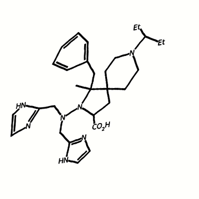 CCC(CC)N1CCC2(CC1)CC(C(=O)O)N(N(Cc1ncc[nH]1)Cc1ncc[nH]1)C2(C)Cc1ccccc1